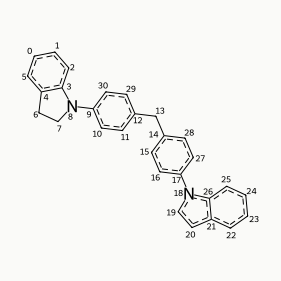 c1ccc2c(c1)CCN2c1ccc(Cc2ccc(-n3ccc4ccccc43)cc2)cc1